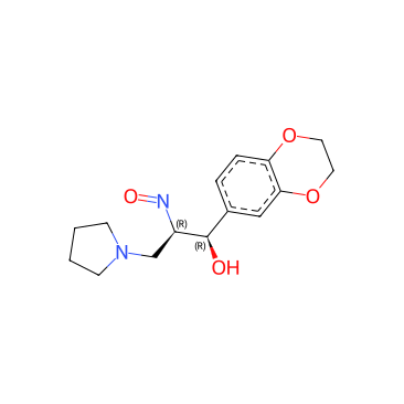 O=N[C@H](CN1CCCC1)[C@H](O)c1ccc2c(c1)OCCO2